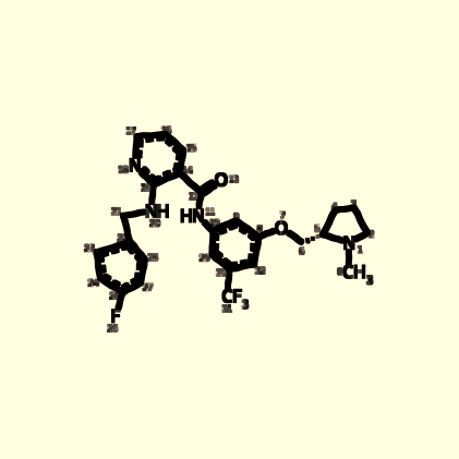 CN1CCC[C@H]1COc1cc(NC(=O)c2cccnc2NCc2ccc(F)cc2)cc(C(F)(F)F)c1